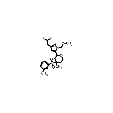 COCn1nc(CC(F)F)cc1C1CC(C)(S(=O)(=O)c2cccc(C)c2)CCO1